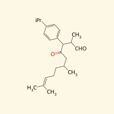 CC(C)=CCCC(C)CC(=O)C(c1ccc(C(C)C)cc1)C(C)C=O